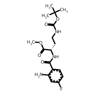 COC(=O)[C@H](CCNC(=O)OC(C)(C)C)NC(=O)c1ccc(F)cc1N